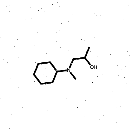 CC(O)CN(C)C1CCCCC1